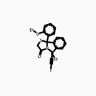 CCOc1ccccc1C1(c2ccccc2OCC)SCC(=O)N1CC#CI